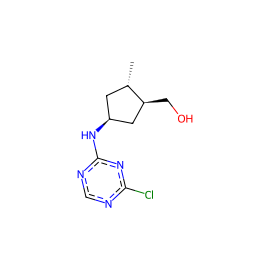 C[C@H]1C[C@H](Nc2ncnc(Cl)n2)C[C@@H]1CO